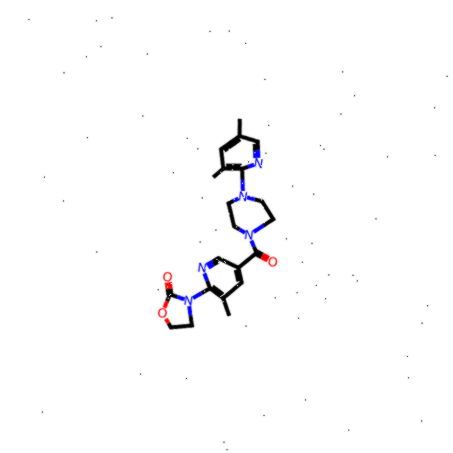 Cc1cnc(N2CCN(C(=O)c3cnc(N4CCOC4=O)c(C)c3)CC2)c(C)c1